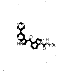 CCCCNC(=O)n1ccc2c(C(=O)c3c[nH]c4ncc(-c5cncnc5)cc34)cccc21